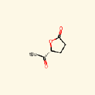 CC(C)(C)C(=O)[C@H]1CCC(=O)O1